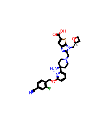 N#Cc1ccc(COc2cccc(C3(N)CCN(Cc4nc5cc(C(=O)O)sc5n4C[C@@H]4CCO4)CC3)n2)c(F)c1